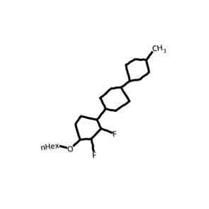 CCCCCCOC1CCC(C2CCC(C3CCC(C)CC3)CC2)C(F)C1F